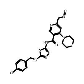 O=NCc1cc(N2CCOCC2)c(C(=O)Nc2nnc(OCc3ccc(Cl)cc3)s2)cn1